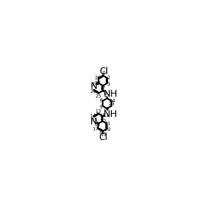 Clc1ccc2c(NC3CCC(Nc4ccnc5cc(Cl)ccc45)CC3)ccnc2c1